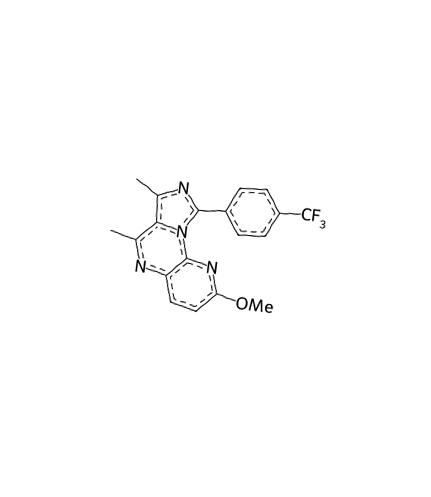 COc1ccc2nc(C)c3c(C)nc(-c4ccc(C(F)(F)F)cc4)n3c2n1